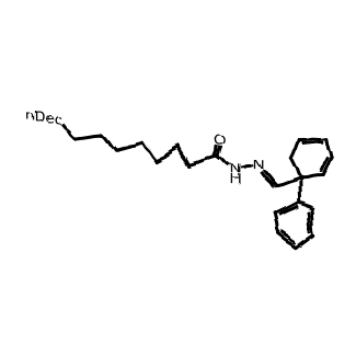 CCCCCCCCCCCCCCCCCC(=O)NN=CC1(c2ccccc2)C=CC=CC1